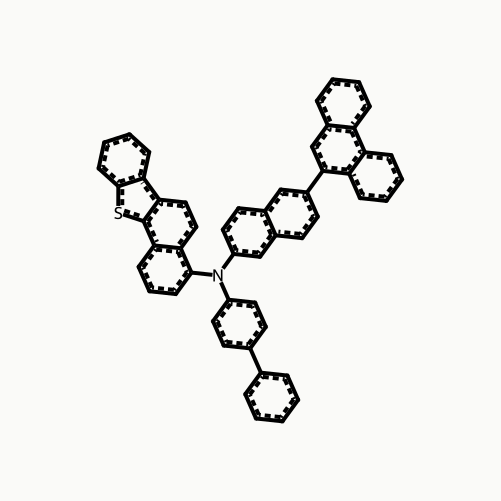 c1ccc(-c2ccc(N(c3ccc4cc(-c5cc6ccccc6c6ccccc56)ccc4c3)c3cccc4c3ccc3c5ccccc5sc43)cc2)cc1